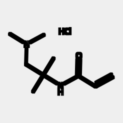 C=CC(=O)NC(C)(C)CN(C)C.Cl